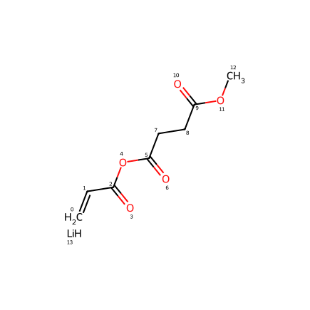 C=CC(=O)OC(=O)CCC(=O)OC.[LiH]